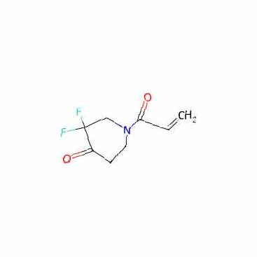 C=CC(=O)N1CCC(=O)C(F)(F)C1